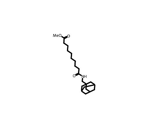 COC(=O)CCCCCCCCC(=O)NCC12CC3CC(CC(C3)C1)C2